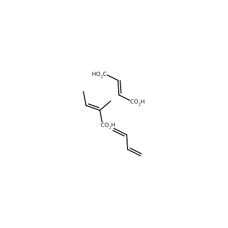 C=CC=C.CC=C(C)C(=O)O.O=C(O)C=CC(=O)O